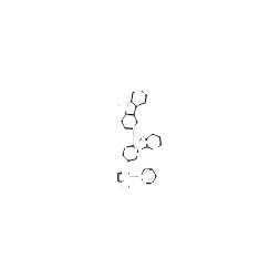 c1ccc(-c2nccn2-c2ccc3c(c2)c2ccccc2n3-c2ccc3oc4ccccc4c3c2)cc1